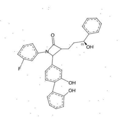 O=C1C(CC[C@H](O)c2ccccc2)C(c2ccc(-c3ccccc3O)c(O)c2)N1c1cccc(F)c1